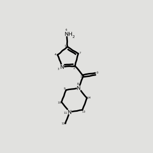 C=C(C1=NCC(N)=C1)N1CCN(C)CC1